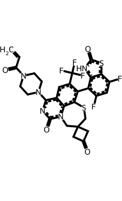 C=CC(=O)N1CCN(c2nc(=O)n3c4c(c(-c5c(F)cc(F)c6sc(=O)[nH]c56)c(C(F)(F)F)cc24)SCC2(CC(=O)C2)C3)CC1